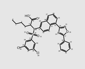 CCCCC(C(=O)O)N(c1ccc2c(-c3noc(-c4ccccc4)n3)cccc2c1)S(=O)(=O)c1cc(Cl)cc(Cl)c1